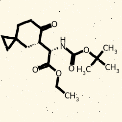 CCOC(=O)[C@@H](NC(=O)OC(C)(C)C)[C@@H]1CC2(CCC1=O)CC2